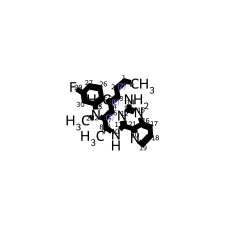 C\C=C/C=C(C)/C=C(/[C@H](C)Nc1nc(N)nc2cccnc12)N(C)c1cccc(F)c1